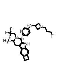 CC1Cc2c([nH]c3cc4c(cc23)CC4)[C@@H](c2ccc(NC3CN(CCCF)C3)cn2)N1CC(F)(F)F